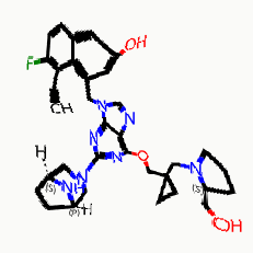 C#Cc1c(F)ccc2cc(O)cc(Cn3cnc4c(OCC5(CN6CCC[C@H]6CO)CC5)nc(N5C[C@H]6CC[C@@H](C5)N6)nc43)c12